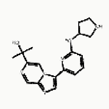 CC(C)(O)c1cn2c(-c3cccc(NC4CCNC4)n3)cnc2cn1